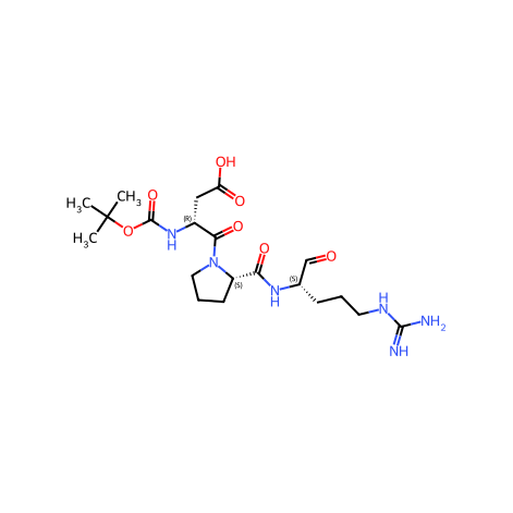 CC(C)(C)OC(=O)N[C@H](CC(=O)O)C(=O)N1CCC[C@H]1C(=O)N[C@H](C=O)CCCNC(=N)N